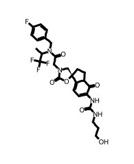 CC(N(Cc1ccc(F)cc1)C(=O)CN1C[C@]2(CCC3C(=O)C(NC(=O)NCCCO)=CC=C32)OC1=O)C(F)(F)F